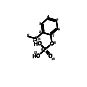 CSc1ccccc1OP(=O)(O)O